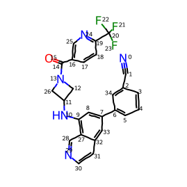 N#Cc1cccc(-c2cc(NC3CN(C(=O)c4ccc(C(F)(F)F)nc4)C3)c3cnccc3c2)c1